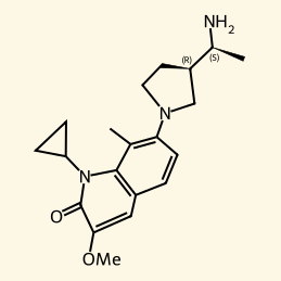 COc1cc2ccc(N3CC[C@@H]([C@H](C)N)C3)c(C)c2n(C2CC2)c1=O